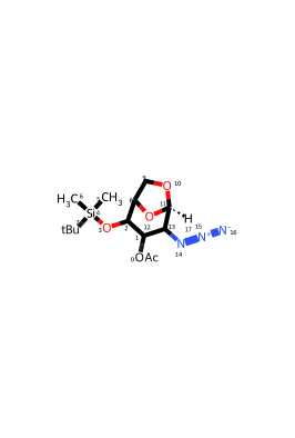 CC(=O)OC1C(O[Si](C)(C)C(C)(C)C)C2CO[C@H](O2)C1N=[N+]=[N-]